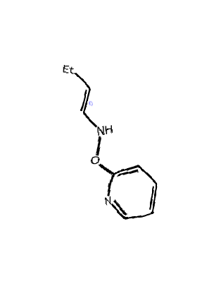 CC/C=C/NOc1ccccn1